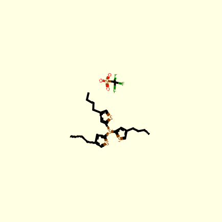 CCCCc1csc([S+](c2cc(CCCC)cs2)c2cc(CCCC)cs2)c1.O=S(=O)([O-])C(F)(F)F